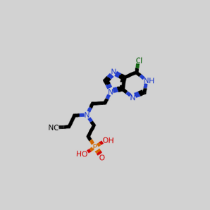 N#CCCN(CCn1cnc2c1N=CNC2Cl)CCP(=O)(O)O